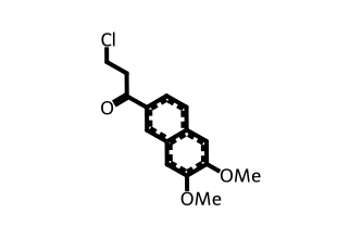 COc1cc2ccc(C(=O)CCCl)cc2cc1OC